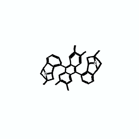 Cc1cc2c(-c3cccc4c3C3CC5(C)CC4N35)c3cc(C)c(C)cc3c(-c3cccc4c3C3CC5(C)CC4N35)c2cc1C